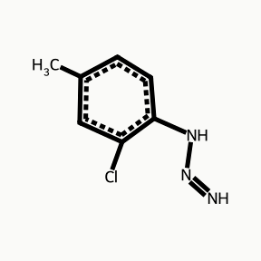 Cc1ccc(NN=N)c(Cl)c1